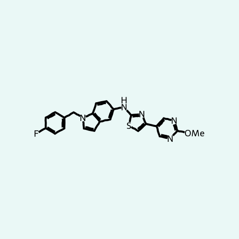 COc1ncc(-c2csc(Nc3ccc4c(ccn4Cc4ccc(F)cc4)c3)n2)cn1